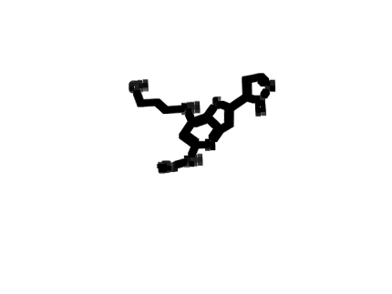 CC(C)(C)Nc1cc(NCCCO)c2sc(-c3ccn[nH]3)cc2n1